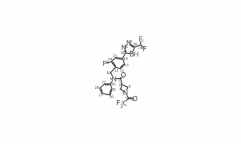 O=C(C1CN(C(=O)C(F)(F)F)C1)N(Cc1ccc(C2=NN=C(C(F)F)B2)cc1F)c1ccccc1